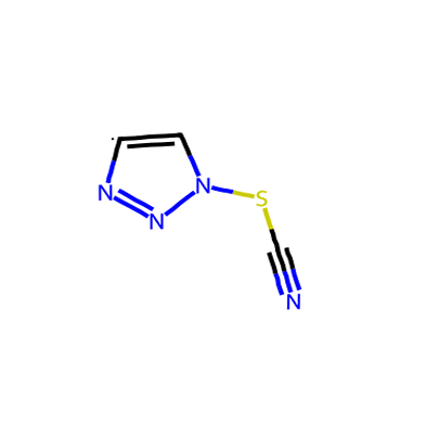 N#CSn1c[c]nn1